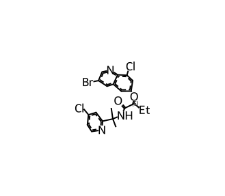 CC[C@H](Oc1cc(Cl)c2ncc(Br)cc2c1)C(=O)NC(C)(C)c1cc(Cl)ccn1